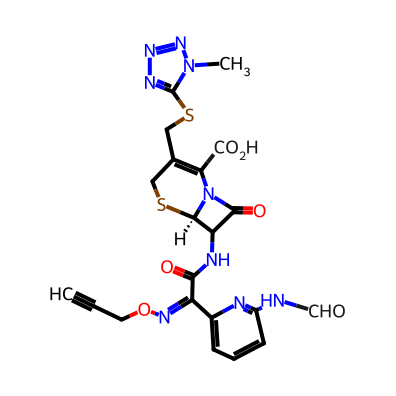 C#CCO/N=C(\C(=O)NC1C(=O)N2C(C(=O)O)=C(CSc3nnnn3C)CS[C@H]12)c1cccc(NC=O)n1